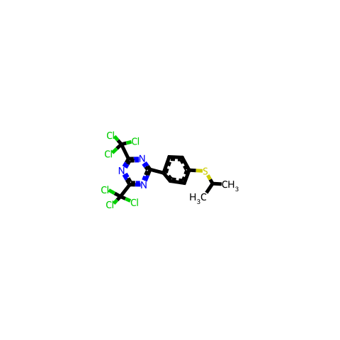 CC(C)Sc1ccc(-c2nc(C(Cl)(Cl)Cl)nc(C(Cl)(Cl)Cl)n2)cc1